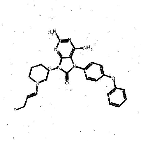 Nc1nc(N)c2c(n1)n([C@@H]1CCCN(C=CCF)C1)c(=O)n2-c1ccc(Oc2ccccc2)cc1